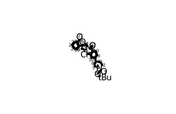 CC(C)(C)OC(=O)N1CC=C(c2ccc(C(=O)N3CC[C@@]4(C3)OC(=O)c3ccccc34)c(Cl)c2)CC1